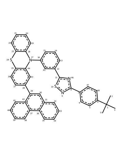 CC(C)(C)c1ccc(-c2nsc(-c3cccc(N4c5ccccc5Sc5ccc(-c6cc7ccccc7c7ccccc67)cc54)c3)n2)cc1